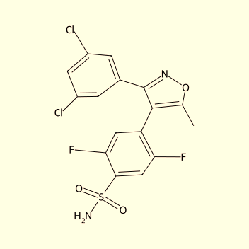 Cc1onc(-c2cc(Cl)cc(Cl)c2)c1-c1cc(F)c(S(N)(=O)=O)cc1F